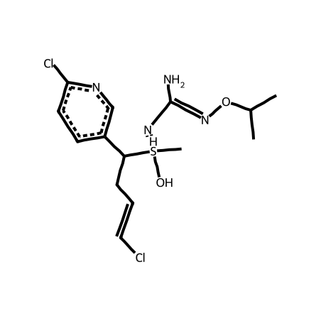 CC(C)ON=C(N)N=[SH](C)(O)C(C/C=C/Cl)c1ccc(Cl)nc1